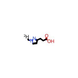 [2H]Cn1ccc(CCC(=O)O)n1